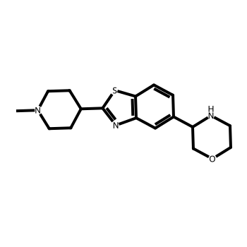 CN1CCC(c2nc3cc(C4COCCN4)ccc3s2)CC1